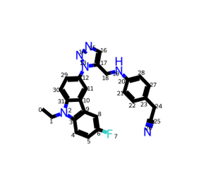 CCn1c2ccc(F)cc2c2cc(-n3nncc3CNc3ccc(CC#N)cc3)ccc21